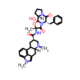 CN1C[C@H](C(=O)N[C@]2(C)O[C@@]3(O)[C@@H]4CCCN4C(=O)[C@H](Cc4ccccc4)N3C2=O)CC2c3cccc4c3c(cn4C)C[C@H]21